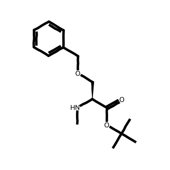 CN[C@@H](COCc1ccccc1)C(=O)OC(C)(C)C